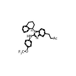 CC(=O)CCc1ccc2c(c1)nc(Nc1ccc(OC(F)(F)F)cc1)n2[C@@H]1CCCc2ccccc21